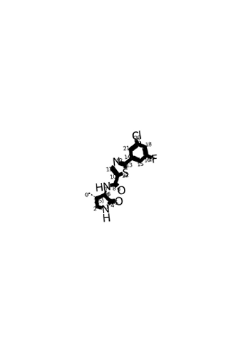 C[C@H]1CNC(=O)[C@@H]1NC(=O)c1cnc(-c2cc(F)cc(Cl)c2)s1